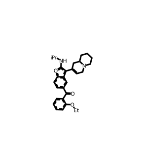 CCOc1ccccc1C(=O)c1ccc2oc(NC(C)C)c(C3=CCN4CCCCC4C3)c2c1